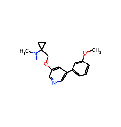 CNC1(COc2cncc(-c3cccc(OC)c3)c2)CC1